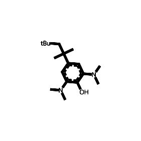 CN(C)c1cc(C(C)(C)CC(C)(C)C)cc(N(C)C)c1O